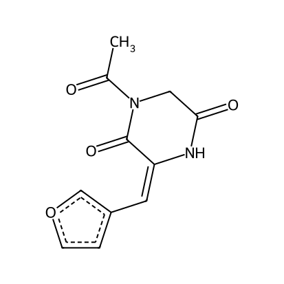 CC(=O)N1CC(=O)N/C(=C/c2ccoc2)C1=O